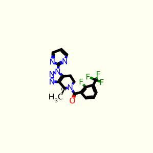 C[C@H]1c2nnn(-c3ncccn3)c2CCN1C(=O)c1cccc(C(F)(F)F)c1F